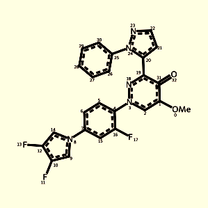 COc1cn(-c2ccc(-n3cc(F)c(F)c3)cc2F)nc(-c2ccnn2-c2ccccc2)c1=O